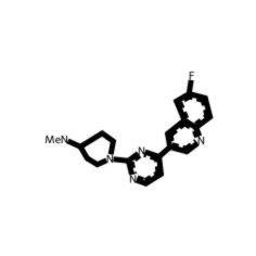 CNC1CCN(c2nccc(-c3cnc4ccc(F)cc4c3)n2)CC1